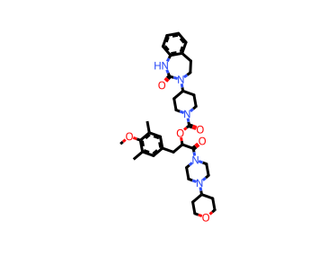 COc1c(C)cc(CC(OC(=O)N2CCC(N3CCc4ccccc4NC3=O)CC2)C(=O)N2CCN(C3CCOCC3)CC2)cc1C